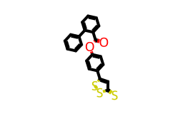 O=C(Oc1ccc(-c2cc(=S)ss2)cc1)c1ccccc1-c1ccccc1